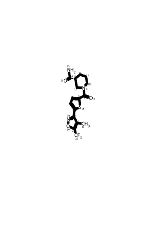 Cc1c(-c2ccc(C(=O)N3CCC[C@@H](C(N)=O)C3)s2)noc1C(F)(F)F